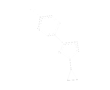 FC(F)(F)c1ccc(-n2c[c]c(C3CC3)n2)cn1